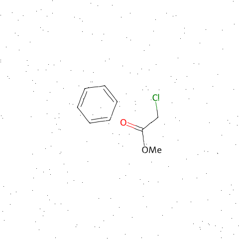 COC(=O)CCl.c1ccccc1